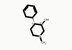 CN1CC[C@H](C2C=CC=CC2)[C@@H](O)C1